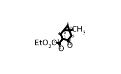 CCOC(=O)C(=O)C1CC2CC2(C)CC1=O